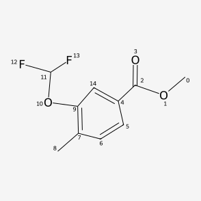 COC(=O)c1ccc(C)c(OC(F)F)c1